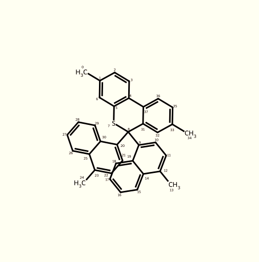 Cc1ccc2c(c1)SC(c1ccc(C)c3ccccc13)(c1ccc(C)c3ccccc13)c1cc(C)ccc1-2